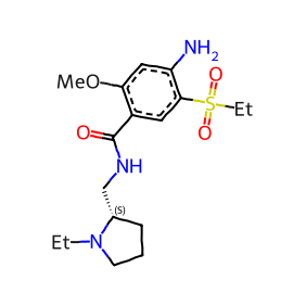 CCN1CCC[C@H]1CNC(=O)c1cc(S(=O)(=O)CC)c(N)cc1OC